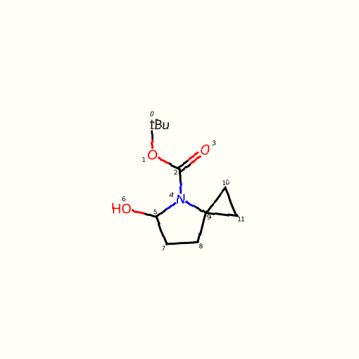 CC(C)(C)OC(=O)N1C(O)CCC12CC2